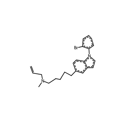 C=CCN(C)CCCCCc1ccc2c(ccn2-c2ccccc2Br)c1